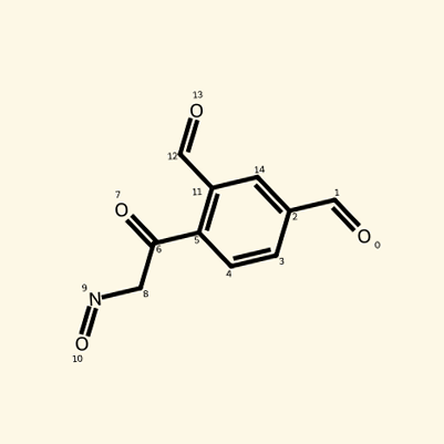 O=Cc1ccc(C(=O)CN=O)c(C=O)c1